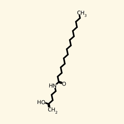 C=C(O)CCCNC(=O)CCCCCCCCCCCCCCC